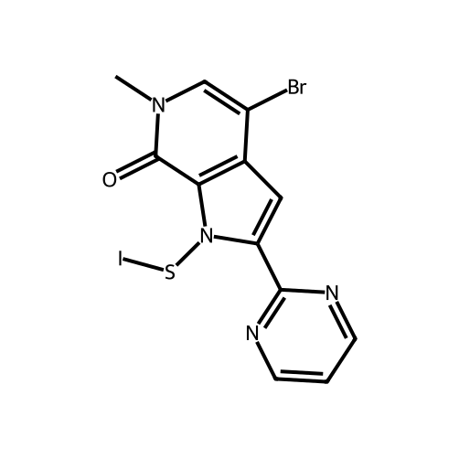 Cn1cc(Br)c2cc(-c3ncccn3)n(SI)c2c1=O